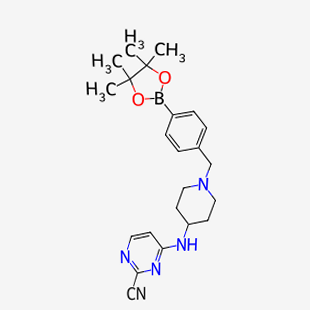 CC1(C)OB(c2ccc(CN3CCC(Nc4ccnc(C#N)n4)CC3)cc2)OC1(C)C